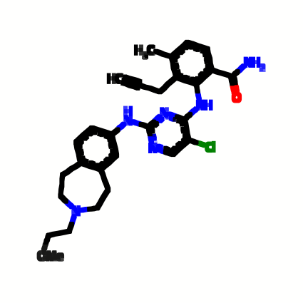 C#CCc1c(C)ccc(C(N)=O)c1Nc1nc(Nc2ccc3c(c2)CCN(CCOC)CC3)ncc1Cl